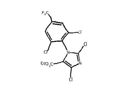 CCOC(=O)c1c(Cl)nc(Cl)n1-c1c(Cl)cc(C(F)(F)F)cc1Cl